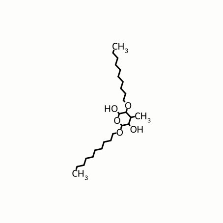 CCCCCCCCCCOC1OC(O)C(OCCCCCCCCCC)C(C)C1O